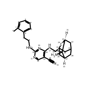 Cc1ccccc1CCNc1ncc(C#N)c(NC[C@]23CC4C[C@H](C2)[C@@H](N)[C@@H](C4)C3)n1